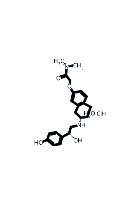 CN(C)C(=O)COc1ccc2c(c1)C[C@@H](NC[C@H](O)c1ccc(O)cc1)CC2.Cl.O